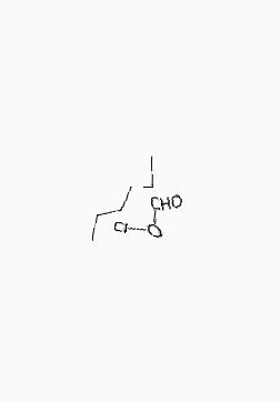 CCCCCC.O=COCl